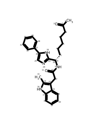 CC(=O)CCCCC[C@H](NC(=O)Cc1c(C)[nH]c2ccccc12)c1ncc(-c2ccccc2)[nH]1